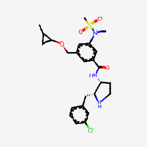 CC1CC1OCc1cc(C(=O)N[C@@H]2CCN[C@@H]2Cc2cccc(Cl)c2)cc(N(C)S(C)(=O)=O)c1